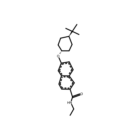 CCNC(=O)c1ccc2cc(O[C@H]3CC[C@H](C(C)(C)C)CC3)ccc2c1